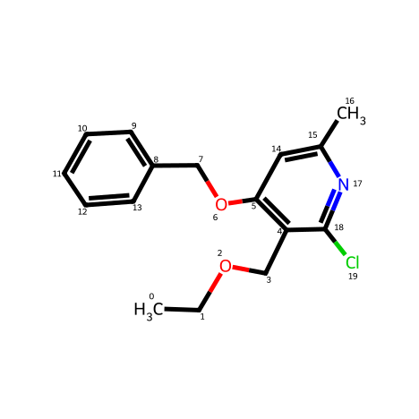 CCOCc1c(OCc2ccccc2)cc(C)nc1Cl